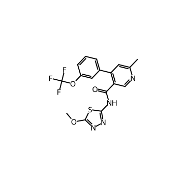 COc1nnc(NC(=O)c2cnc(C)cc2-c2cccc(OC(F)(F)F)c2)s1